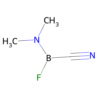 CN(C)B(F)C#N